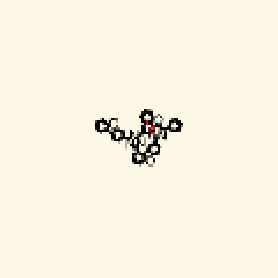 c1ccc(-c2nc(-c3ccc4c(c3)oc3ccccc34)nc(-c3cccc4oc5ccc(-c6nc(-c7ccccc7)c7oc8ccccc8c7n6)cc5c34)n2)cc1